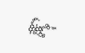 CCc1c(F)ccc2cc(OCOC)cc(-c3ncc4c(N5CCC[C@@]6(CCO6)C5)nc(OC[C@@]56CCCN5[C@H](CO)CC6)nc4c3F)c12